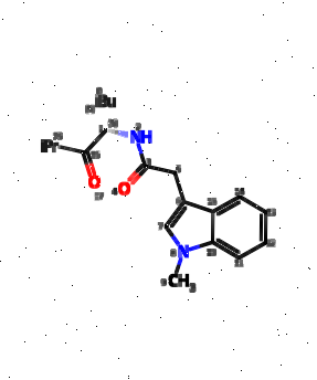 CC[C@H](C)[C@H](NC(=O)Cc1cn(C)c2ccccc12)C(=O)C(C)C